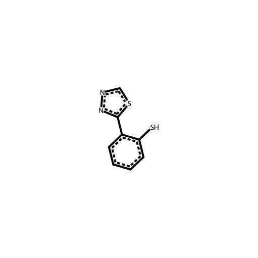 Sc1ccccc1-c1nncs1